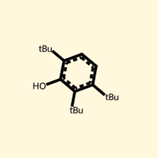 CC(C)(C)c1ccc(C(C)(C)C)c(C(C)(C)C)c1O